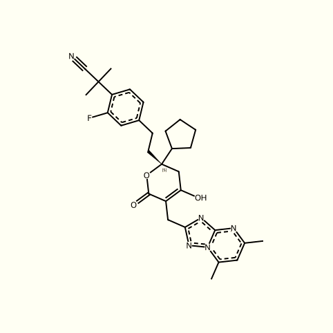 Cc1cc(C)n2nc(CC3=C(O)C[C@@](CCc4ccc(C(C)(C)C#N)c(F)c4)(C4CCCC4)OC3=O)nc2n1